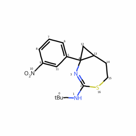 CC(C)(C)NC1=NC2(c3cccc([N+](=O)[O-])c3)CC2CCS1